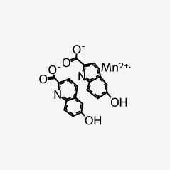 O=C([O-])c1ccc2cc(O)ccc2n1.O=C([O-])c1ccc2cc(O)ccc2n1.[Mn+2]